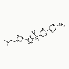 CN(C)CCn1cc(-c2nc([C@@](C)(c3ccc(C4=NCC(N)N=C4)nc3)C3CC3)no2)cn1